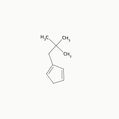 CC(C)(C)CC1=CCC=C1